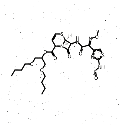 CCCCOCC(COCCCC)OC(=O)C1C=CS[C@H]2C(NC(=O)C(=NOC)c3csc(NC=O)n3)C(=O)N12